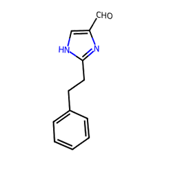 O=Cc1c[nH]c(CCc2ccccc2)n1